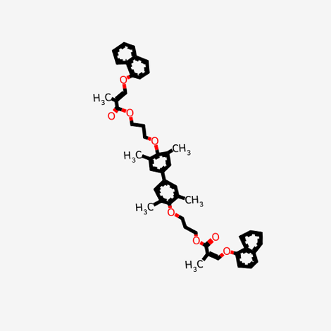 CC(=COc1cccc2ccccc12)C(=O)OCCCOc1c(C)cc(-c2cc(C)c(OCCCOC(=O)C(C)=COc3cccc4ccccc34)c(C)c2)cc1C